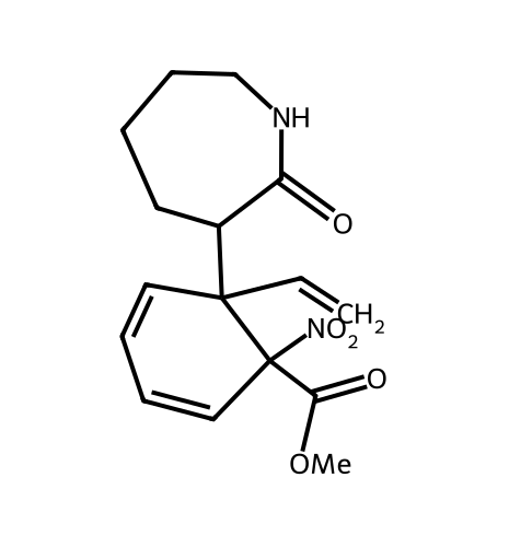 C=CC1(C2CCCCNC2=O)C=CC=CC1(C(=O)OC)[N+](=O)[O-]